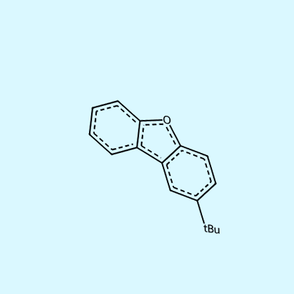 CC(C)(C)c1ccc2oc3ccccc3c2c1